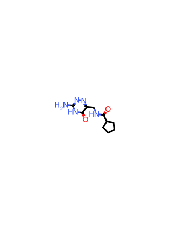 Nc1nnc(CNC(=O)C2CCCC2)c(=O)[nH]1